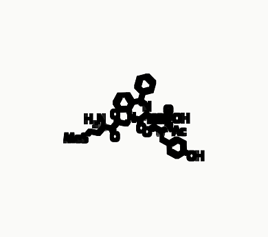 CSCC[C@H](N)C(=O)C(=O)CN1C(=O)[C@H](NC(=O)[C@H](Cc2ccc(O)cc2)N(C(C)=O)P(=O)(O)O)N=C(c2ccccc2)c2ccccc21